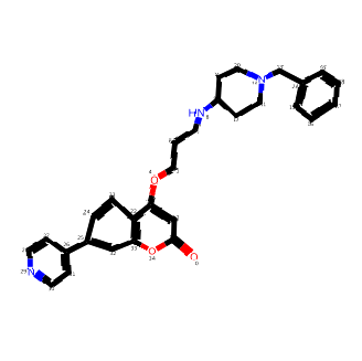 O=c1cc(OCCCNC2CCN(Cc3ccccc3)CC2)c2ccc(-c3ccncc3)cc2o1